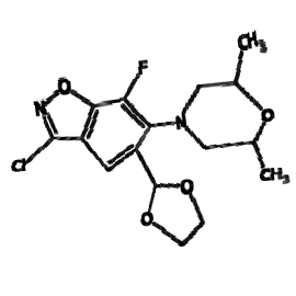 CC1CN(c2c(C3OCCO3)cc3c(Cl)noc3c2F)CC(C)O1